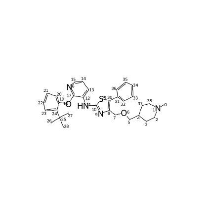 CN1CCC(COCc2nc(Nc3cccnc3Oc3ccccc3C(C)(C)C)sc2-c2ccccc2)CC1